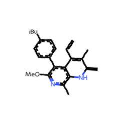 C=CC1=C(C)C(=C)Nc2c(C)nc(OC)c(-c3ccc(C(C)CC)cc3)c21